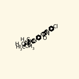 CN(C(=O)OC(C)(C)C)C1CCN(c2ccc(N3Cc4cn(-c5ccc(Cl)cc5)nc4C3=O)cc2)C1